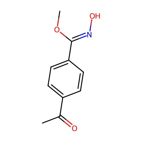 COC(=NO)c1ccc(C(C)=O)cc1